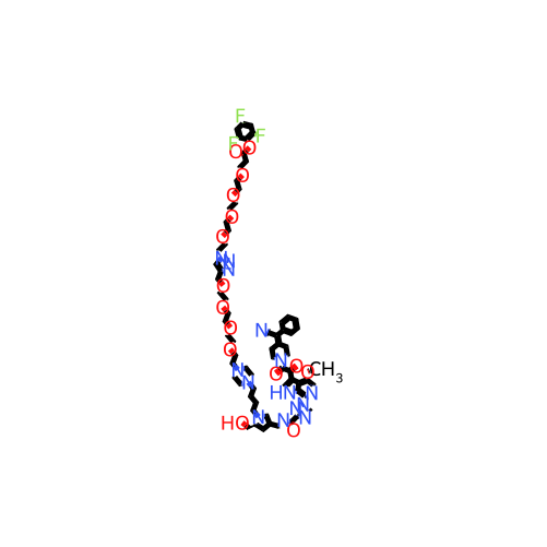 COc1cnc(-n2cnc(C(=O)/N=C/C3C[C@@H](CO)N(CCCCN4CCN(CCOCCOCCOCCOCc5cn(CCOCCOCCOCCOCCC(=O)Oc6c(F)cc(F)cc6F)nn5)CC4)C3)n2)c2[nH]cc(C(=O)C(=O)N3CCC(=C(C#N)c4ccccc4)CC3)c12